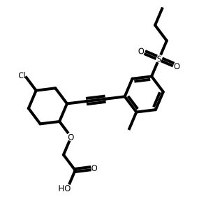 CCCS(=O)(=O)c1ccc(C)c(C#CC2CC(Cl)CCC2OCC(=O)O)c1